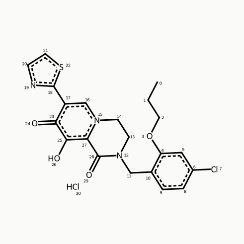 CCCOc1cc(Cl)ccc1CN1CCn2cc(-c3nccs3)c(=O)c(O)c2C1=O.Cl